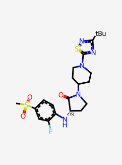 CC(C)(C)c1nsc(N2CCC(N3CC[C@H](Nc4ccc(S(C)(=O)=O)cc4F)C3=O)CC2)n1